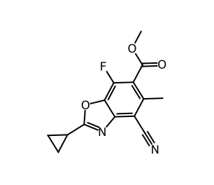 COC(=O)c1c(C)c(C#N)c2nc(C3CC3)oc2c1F